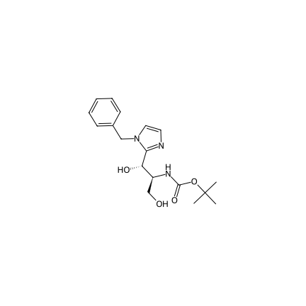 CC(C)(C)OC(=O)N[C@@H](CO)[C@H](O)c1nccn1Cc1ccccc1